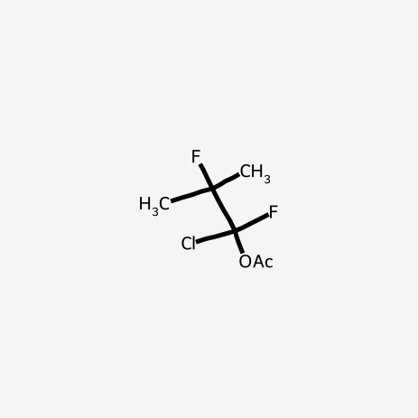 CC(=O)OC(F)(Cl)C(C)(C)F